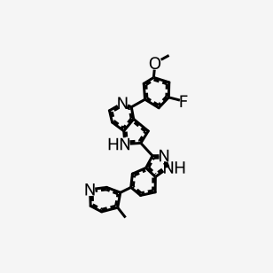 COc1cc(F)cc(-c2nccc3[nH]c(-c4n[nH]c5ccc(-c6cnccc6C)cc45)cc23)c1